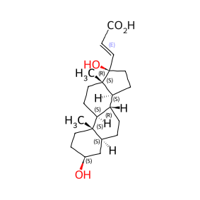 C[C@]12CC[C@H](O)C[C@@H]1CC[C@@H]1[C@@H]2CC[C@@]2(C)[C@H]1CC[C@@]2(O)/C=C/C(=O)O